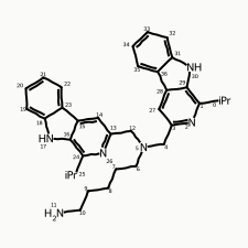 CC(C)c1nc(CN(CCCCCN)Cc2cc3c([nH]c4ccccc43)c(C(C)C)n2)cc2c1[nH]c1ccccc12